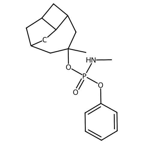 CNP(=O)(Oc1ccccc1)OC1(C)CC2CC3CC(C1)C3C2